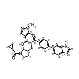 Cn1ncc2c(=O)n(CC3CCN(C(=O)C4CC4)C3)c(-c3ccc(-c4ccc5cc[nH]c5c4)cc3)nc21